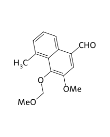 COCOc1c(OC)cc(C=O)c2cccc(C)c12